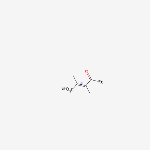 CCOC(=O)/C(C)=C(\C)C(=O)CC